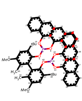 COc1cc(C(C)(C)C)c(OP(Oc2cccc3ccccc23)Oc2cccc3ccccc23)c(-c2c(C)c(OC)cc(C(C)(C)C)c2OP(Oc2cccc3ccccc23)Oc2cccc3ccccc23)c1C